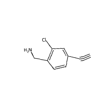 C#Cc1ccc(CN)c(Cl)c1